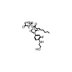 CCCCCCCC(=O)OP(=O)(O)N(C[C@H]1CN(c2ccc(NCCO)c(F)c2)C(=O)O1)C(C)=O